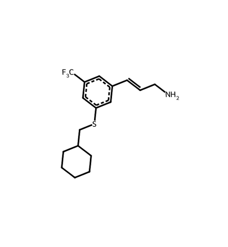 NCC=Cc1cc(SCC2CCCCC2)cc(C(F)(F)F)c1